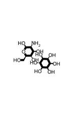 N[C@@H]1[C@@H](O)[C@H](O)[C@@H](CO)O[C@H]1O.O[C@H]1[C@H](O)[C@@H](O)[C@H](O)[C@@H](O)[C@H]1O